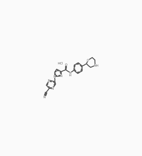 Cl.N#Cc1cnc(-n2ccc(C(=O)Nc3ccc(C4CNCCO4)cc3)n2)cn1